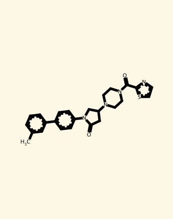 Cc1cccc(-c2ccc(N3CC(N4CCN(C(=O)c5nccs5)CC4)CC3=O)cc2)c1